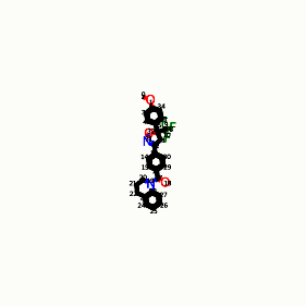 COc1ccc(C2(C(F)(F)F)CC(c3ccc(C(=O)N4CCCc5ccccc54)cc3)=NO2)cc1